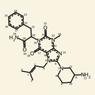 CC(C)=CCn1c(N2CCCC(N)C2)nc2c1c(=O)n(C(Cc1ccccc1)C(N)=O)c(=O)n2C